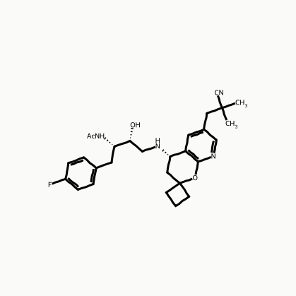 CC(=O)N[C@@H](Cc1ccc(F)cc1)[C@H](O)CN[C@H]1CC2(CCC2)Oc2ncc(CC(C)(C)C#N)cc21